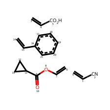 C=CC#N.C=CC(=O)O.C=COC(=O)C1CC1.C=Cc1ccccc1